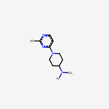 CC(=O)N(C)C1CCN(c2ccnc(C#N)n2)CC1